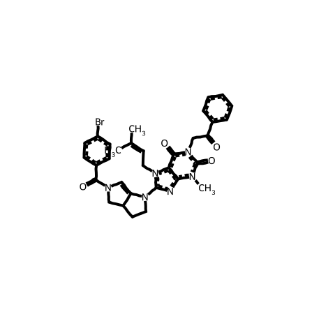 CC(C)=CCn1c(N2CCC3CN(C(=O)c4ccc(Br)cc4)C=C32)nc2c1c(=O)n(CC(=O)c1ccccc1)c(=O)n2C